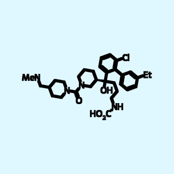 CCc1cccc(-c2c(Cl)cccc2C(O)(CCCNC(=O)O)[C@@H]2CCCN(C(=O)N3CCC(CNC)CC3)C2)c1